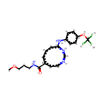 COCCCNC(=O)c1cccc(Nc2ccc(OC(F)(F)F)cc2)ncncc1